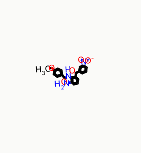 COc1ccc(C(=O)Nc2c(N)cccc2C(=O)c2cccc([N+](=O)[O-])c2)cc1